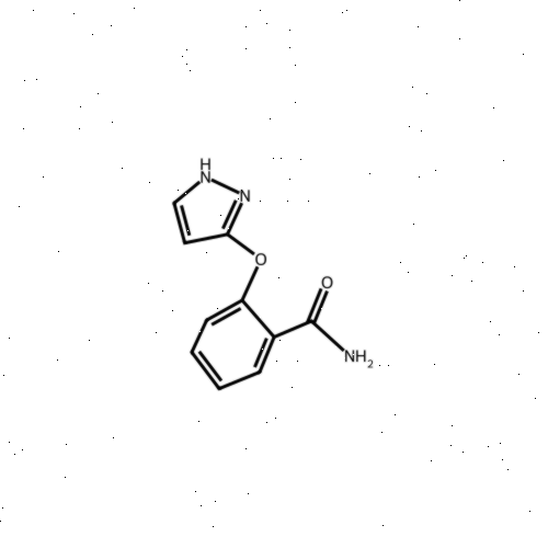 NC(=O)c1ccccc1Oc1cc[nH]n1